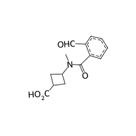 CN(C(=O)c1ccccc1C=O)C1CC(C(=O)O)C1